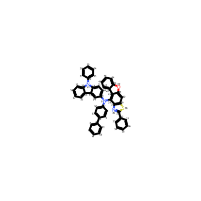 c1ccc(-c2ccc(N(c3ccc4c(c3)c3ccccc3n4-c3ccccc3)c3c4nc(-c5ccccc5)sc4cc4oc5ccccc5c34)cc2)cc1